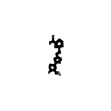 Fc1ccc(-n2cc(COc3nccc(C(F)F)n3)nn2)cc1C(F)(F)F